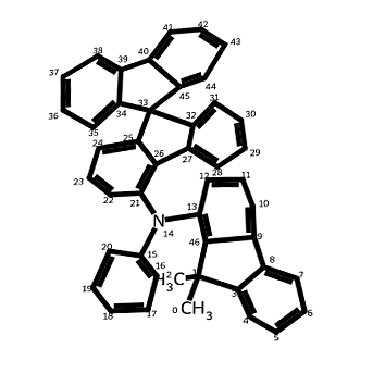 CC1(C)c2ccccc2-c2cccc(N(c3ccccc3)c3cccc4c3-c3ccccc3C43c4ccccc4-c4ccccc43)c21